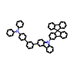 c1ccc(N(c2ccccc2)c2ccc(-c3cccc(-c4ccc5c(c4)c4ccccc4n5-c4ccc5c(c4)-c4ccccc4C54c5ccccc5-c5ccccc54)c3)cc2)cc1